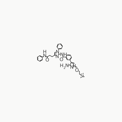 C[Si](C)(C)CCOCn1cc(-c2cccc(C(=O)Nc3nc(CCC(=O)Nc4ccccc4)cn3-c3ccccc3)c2)c(N)n1